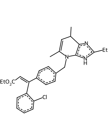 CCOC(=O)C=C(c1ccc(CN2C(C)=CC(C)c3nc(CC)[nH]c32)cc1)c1ccccc1Cl